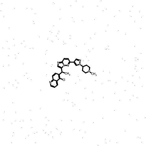 CC(c1ccc2ncccc2c1Cl)c1cnc2ccc(-c3cnn(C4CCN(C)CC4)c3)nn12